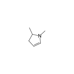 CC1CC=CN1C